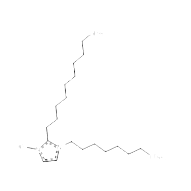 CCCCCCCCCCCCCCCCCCCc1n(C(C)C)cc[n+]1CCCCCCCCCCCCCCCCC